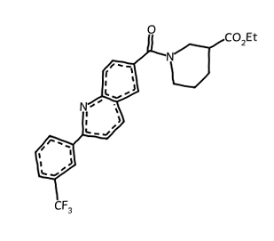 CCOC(=O)C1CCCN(C(=O)c2ccc3nc(-c4cccc(C(F)(F)F)c4)ccc3c2)C1